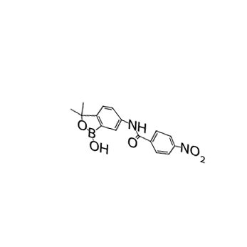 CC1(C)OB(O)c2cc(NC(=O)c3ccc([N+](=O)[O-])cc3)ccc21